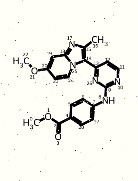 COC(=O)c1ccc(Nc2nccc(-c3c(C)nc4cc(OC)ccn34)n2)cc1